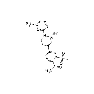 CC(C)[C@@H]1CN(c2ccc(C(N)=O)c(S(C)(=O)=O)c2)CCN1c1nccc(C(F)(F)F)n1